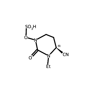 CCN1C(=O)N(OS(=O)(=O)O)CC[C@H]1C#N